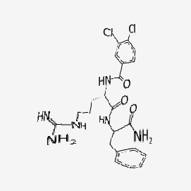 N=C(N)NCCC[C@H](NC(=O)c1ccc(Cl)c(Cl)c1)C(=O)NC(Cc1ccccc1)C(N)=O